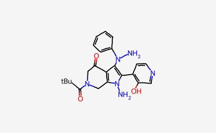 CC(C)(C)C(=O)N1CC(=O)c2c(N(N)c3ccccc3)c(-c3ccncc3O)n(N)c2C1